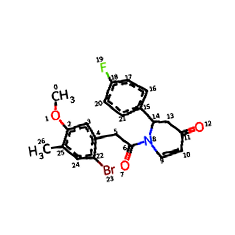 COc1cc(CC(=O)N2C=CC(=O)CC2c2ccc(F)cc2)c(Br)cc1C